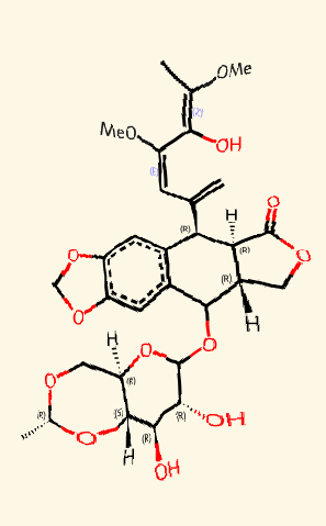 C=C(/C=C(OC)\C(O)=C(/C)OC)[C@@H]1c2cc3c(cc2C(OC2O[C@@H]4CO[C@@H](C)O[C@H]4[C@H](O)[C@H]2O)[C@H]2COC(=O)[C@H]12)OCO3